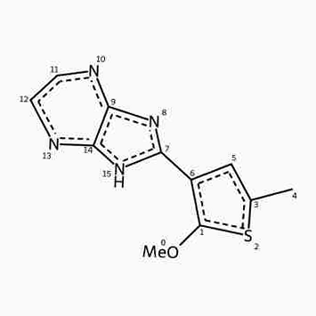 COc1sc(C)cc1-c1nc2nccnc2[nH]1